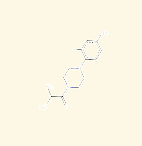 CC(C)C(=O)N1CCN(c2ccc(N)cc2F)CC1